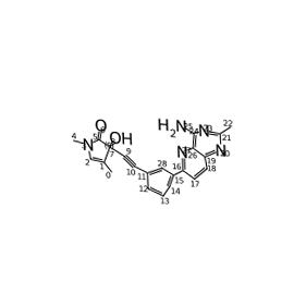 CC1=CN(C)C(=O)[C@]1(O)C#Cc1cccc(-c2ccc3nc(C)nc(N)c3n2)c1